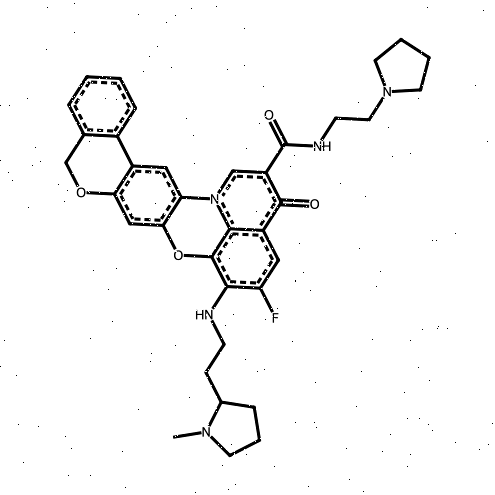 CN1CCCC1CCNc1c(F)cc2c(=O)c(C(=O)NCCN3CCCC3)cn3c2c1Oc1cc2c(cc1-3)-c1ccccc1CO2